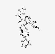 CN(C(=O)c1cnn(C)c1-c1ccn2nc(N3CCOCC3)nc2c1)C1CCCC1.NC=O